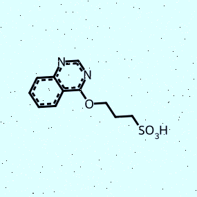 O=S(=O)(O)CCCOc1ncnc2ccccc12